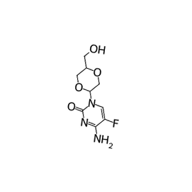 Nc1nc(=O)n(C2COC(CO)CO2)cc1F